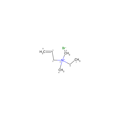 C=CC[N+](C)(C)CC.[Br-]